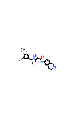 COc1ccc(Cn2nnc(C(=O)Nc3ccc4c(c3)CCNC4)c2C)cc1Cl